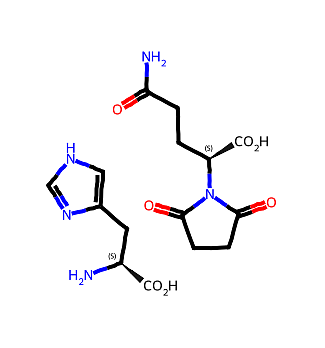 NC(=O)CC[C@@H](C(=O)O)N1C(=O)CCC1=O.N[C@@H](Cc1c[nH]cn1)C(=O)O